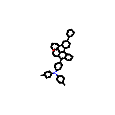 Cc1ccc(N(c2ccc(C)cc2)c2ccc(-c3c4ccccc4c(-c4ccc(-c5ccccc5)cc4-c4ccccc4)c4ccccc34)cc2)cc1